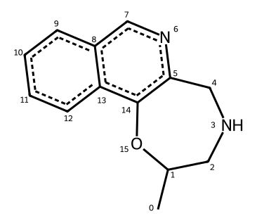 CC1CNCc2ncc3ccccc3c2O1